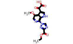 CCOC(=O)c1ncn(-c2ncc(OC)c3c(C(=O)C(=O)O)c[nH]c23)n1